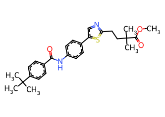 COC(=O)C(C)(C)CCc1ncc(-c2ccc(NC(=O)c3ccc(C(C)(C)C)cc3)cc2)s1